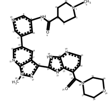 CN1CCC(C(=O)Nc2cncc(-c3cnc4c(c3)c(-c3nc5c(C(=O)N6CCOCC6)ccnc5[nH]3)nn4C)c2)CC1